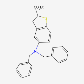 CCOC(=O)C1Cc2cc(N(Cc3ccccc3)Cc3ccccc3)ccc2S1